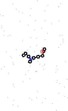 c1ccc(N(c2ccc(-c3ccc(-c4cccc(-c5cc6ccccc6o5)c4)cc3)cc2)c2ccc(-c3cccc4ccccc34)cc2)cc1